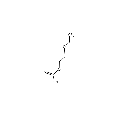 CC(=S)OCCOCC(F)(F)F